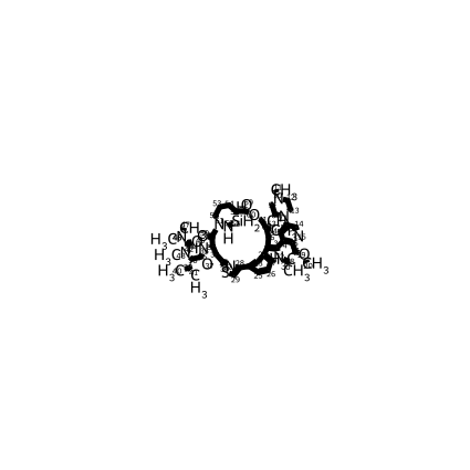 CCn1c(-c2cc(N3CCN(C)CC3)cnc2[C@H](C)OC)c2c3cc(ccc31)-c1csc(n1)C[C@H](NC(=O)[C@H](C(C)C)N(C)C(=O)N(C)C)C(=O)N1CCC[C@H]([SiH2]N1)C(=O)OCC(C)(C)C2